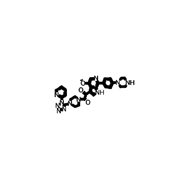 COc1cnc(-c2ccc(N3CCNCC3)cc2)c2[nH]cc(C(=O)C(=O)N3CCN(c4nnnn4-c4ccccn4)CC3)c12